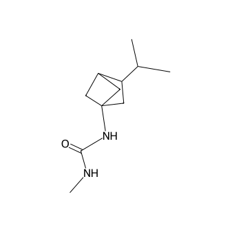 CNC(=O)NC12CC(C1)C(C(C)C)C2